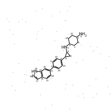 NC1CCC(NC2CC2c2ccc(-c3ccc4cn[nH]c4c3)cc2)CC1